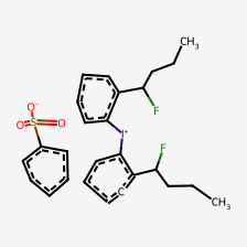 CCCC(F)c1ccccc1[I+]c1ccccc1C(F)CCC.O=S(=O)([O-])c1ccccc1